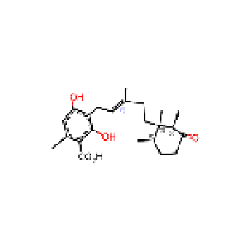 C/C(=C\Cc1c(O)cc(C)c(C(=O)O)c1O)CC[C@@]1(C)[C@H](C)CCC(=O)[C@@H]1C